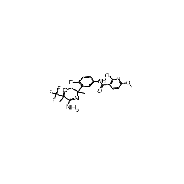 COc1ccc(C(=O)Nc2ccc(F)c(C3(C)COC(C)(C(F)(F)F)C(N)=N3)c2)c(Cl)n1